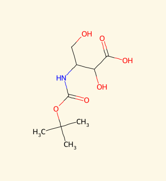 CC(C)(C)OC(=O)NC(CO)C(O)C(=O)O